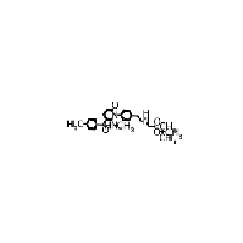 CNc1c(C(=O)c2ccc(C)cc2)ccc(=O)n1-c1ccc(CCNCC(=O)OC(C)(C)C)cc1